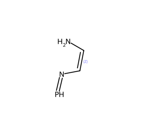 N/C=C\N=P